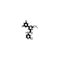 Cc1nc(C(=O)Nc2ccnc(Cl)c2)cc(-c2cc(F)cc(F)c2)n1